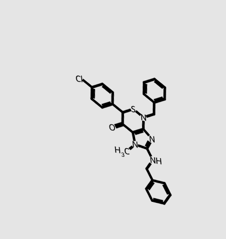 Cn1c(NCc2ccccc2)nc2c1C(=O)C(c1ccc(Cl)cc1)SN2Cc1ccccc1